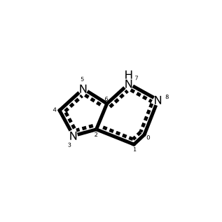 c1cc2ncnc-2[nH]n1